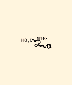 CCCCCCC(CCC(=O)O)OC(=O)CCCN1CCCC1